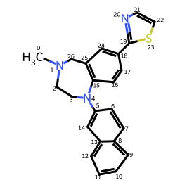 CN1CCN(c2ccc3ccccc3c2)c2ccc(-c3nccs3)cc2C1